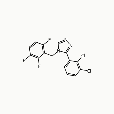 Fc1ccc(F)c(Cn2cnnc2-c2cccc(Cl)c2Cl)c1F